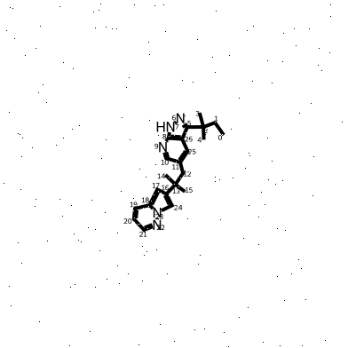 CCC(C)(C)c1n[nH]c2ncc(CC(C)(C)c3cc4cccnn4c3)cc12